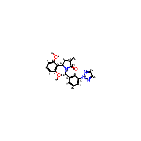 COc1cccc(OC)c1C1CC(C)C(=O)N1Cc1cccc(-n2nccn2)c1